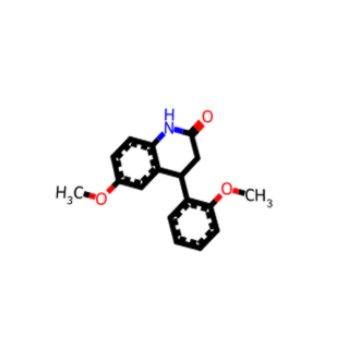 COc1ccc2c(c1)C(c1ccccc1OC)CC(=O)N2